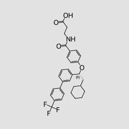 O=C(O)CCNC(=O)c1ccc(O[C@H](CC2CCCCC2)c2cccc(-c3ccc(C(F)(F)F)cc3)c2)cc1